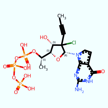 CC#CC1(Cl)[C@@H](O)[C@@H]([C@H](C)OP(=O)(O)OP(=O)(O)OP(=O)(O)O)O[C@H]1n1ccc2c(=O)[nH]c(N)nc21